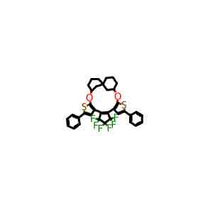 FC1(F)C2=C(c3cc(-c4ccccc4)sc3OC3CCCC4(CCCC(C4)Oc4sc(-c5ccccc5)cc42)C3)C(F)(F)C1(F)F